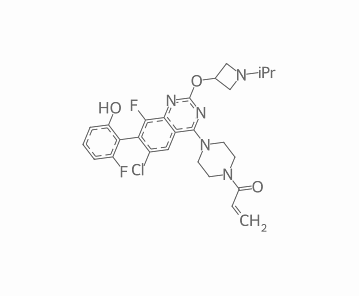 C=CC(=O)N1CCN(c2nc(OC3CN(C(C)C)C3)nc3c(F)c(-c4c(O)cccc4F)c(Cl)cc23)CC1